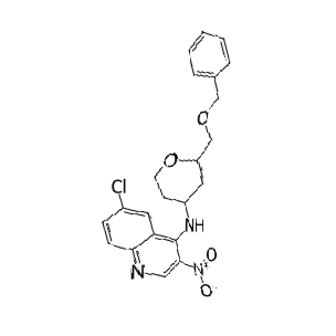 O=[N+]([O-])c1cnc2ccc(Cl)cc2c1NC1CCOC(COCc2ccccc2)C1